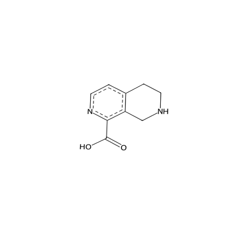 O=C(O)c1nccc2c1CNCC2